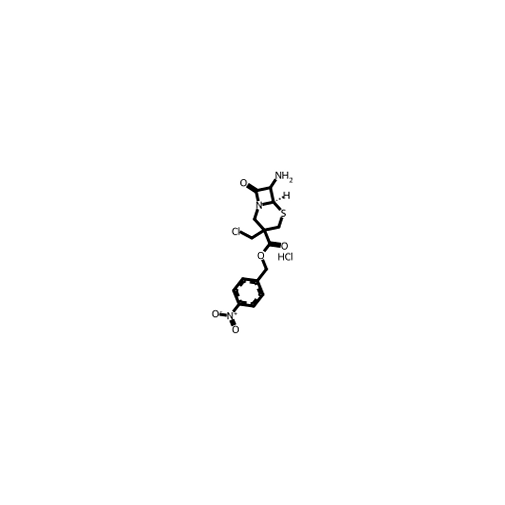 Cl.NC1C(=O)N2CC(CCl)(C(=O)OCc3ccc([N+](=O)[O-])cc3)CS[C@H]12